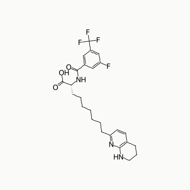 O=C(N[C@H](CCCCCCCc1ccc2c(n1)NCCC2)C(=O)O)c1cc(F)cc(C(F)(F)F)c1